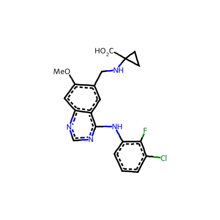 COc1cc2ncnc(Nc3cccc(Cl)c3F)c2cc1CNC1(C(=O)O)CC1